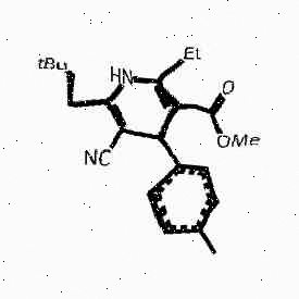 CCC1=C(C(=O)OC)C(c2ccc(C)cc2)C(C#N)=C(CC(C)(C)C)N1